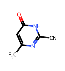 N#Cc1nc(C(F)(F)F)cc(=O)[nH]1